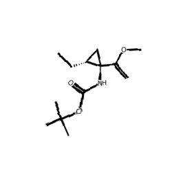 C=C(OC)[C@@]1(NC(=O)OC(C)(C)C)C[C@H]1CC